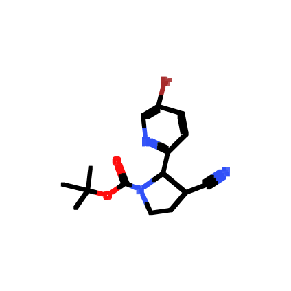 CC(C)(C)OC(=O)N1CCC(C#N)C1c1ccc(Br)cn1